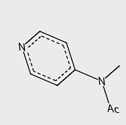 [CH2]C(=O)N(C)c1ccncc1